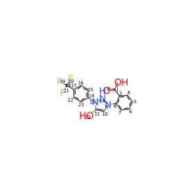 O=C(O)c1ccccc1N1C=C(O)N(c2ccc(C(F)(F)F)cc2)N1